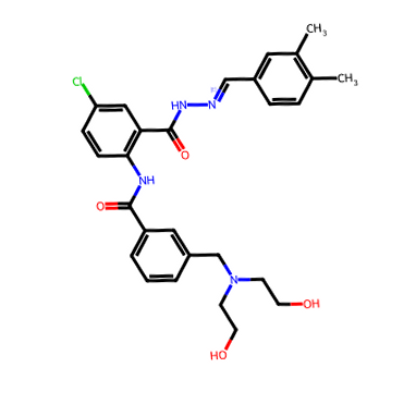 Cc1ccc(/C=N/NC(=O)c2cc(Cl)ccc2NC(=O)c2cccc(CN(CCO)CCO)c2)cc1C